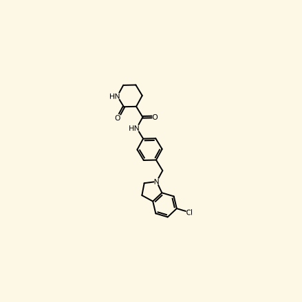 O=C1NCCCC1C(=O)Nc1ccc(CN2CCc3ccc(Cl)cc32)cc1